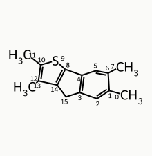 Cc1cc2c(cc1C)-c1sc(C)c(C)c1C2